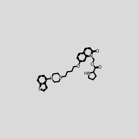 O=C(OCn1c(=O)ccc2ccc(OCCCCN3CCN(c4cccc5sccc45)CC3)cc21)C1CCCN1